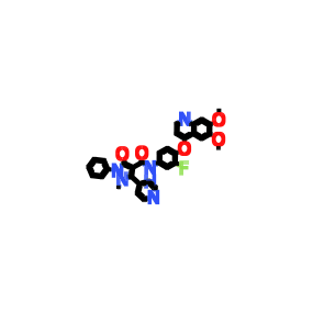 COc1cc2nccc(Oc3ccc(NC(=O)c4c(-c5ccncc5)n(C)n(-c5ccccc5)c4=O)cc3F)c2cc1OC